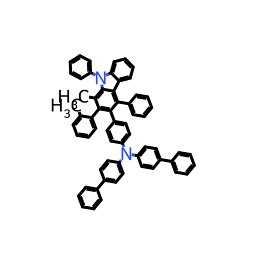 Cc1ccccc1-c1c(-c2ccc(N(c3ccc(-c4ccccc4)cc3)c3ccc(-c4ccccc4)cc3)cc2)c(-c2ccccc2)c2c3ccccc3n(-c3ccccc3)c2c1C